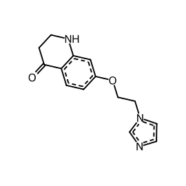 O=C1CCNc2cc(OCCn3ccnc3)ccc21